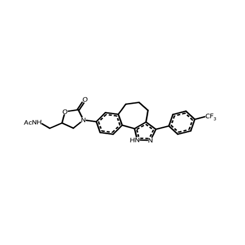 CC(=O)NCC1CN(c2ccc3c(c2)CCCc2c(-c4ccc(C(F)(F)F)cc4)n[nH]c2-3)C(=O)O1